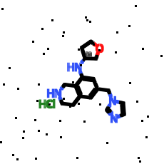 Cl.c1cn(Cc2cc3c(c(N[C@H]4CCOC4)c2)CNCC3)cn1